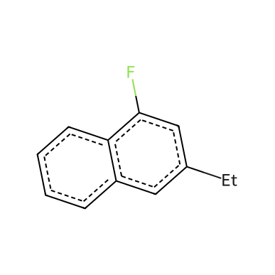 CCc1cc(F)c2ccccc2c1